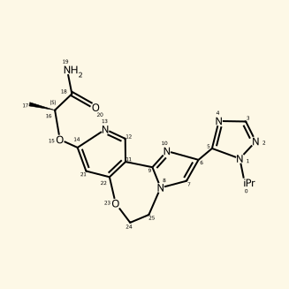 CC(C)n1ncnc1-c1cn2c(n1)-c1cnc(O[C@@H](C)C(N)=O)cc1OCC2